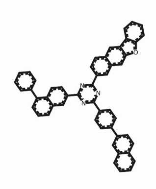 c1ccc(-c2cccc3cc(-c4nc(-c5ccc(-c6ccc7ccccc7c6)cc5)nc(-c5ccc6cc7c(cc6c5)oc5ccccc57)n4)ccc23)cc1